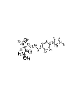 Cc1ccc(-c2ccc(CCCCC(C)(C(=O)NO)[S+](C)[O-])cc2)s1